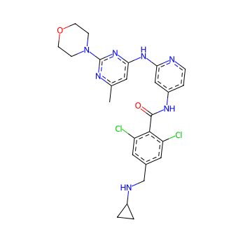 Cc1cc(Nc2cc(NC(=O)c3c(Cl)cc(CNC4CC4)cc3Cl)ccn2)nc(N2CCOCC2)n1